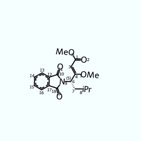 COC(=O)C=C(OC)[C@H](CC(C)C)N1C(=O)c2ccccc2C1=O